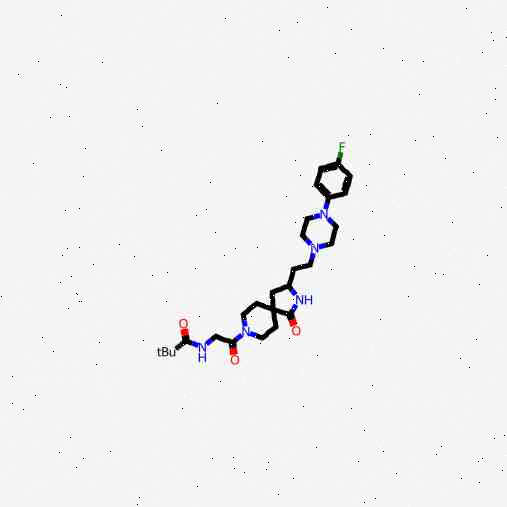 CC(C)(C)C(=O)NCC(=O)N1CCC2(CC1)CC(CCN1CCN(c3ccc(F)cc3)CC1)NC2=O